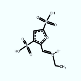 CC[N+]([O-])=Cc1oc(S(=O)(=O)O)cc1S(=O)(=O)O